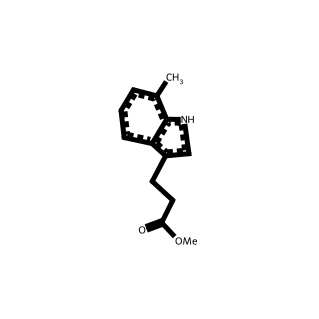 COC(=O)CCc1c[nH]c2c(C)cccc12